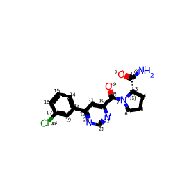 NC(=O)[C@@H]1CCCN1C(=O)c1cc(-c2cccc(Cl)c2)ncn1